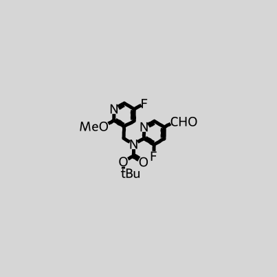 COc1ncc(F)cc1CN(C(=O)OC(C)(C)C)c1ncc(C=O)cc1F